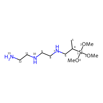 CO[Si](OC)(OC)C(C)CNCCNCCN